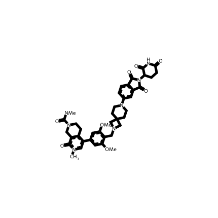 CNC(=O)N1CCc2c(-c3cc(OC)c(CN4CC5(CCN(c6ccc7c(c6)C(=O)N(C6CCC(=O)NC6=O)C7=O)CC5)C4)c(OC)c3)cn(C)c(=O)c2C1